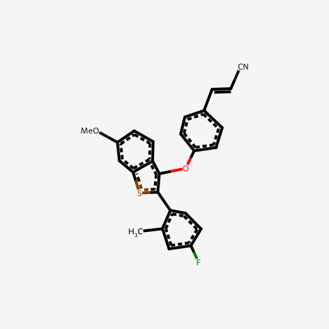 COc1ccc2c(Oc3ccc(/C=C/C#N)cc3)c(-c3ccc(F)cc3C)sc2c1